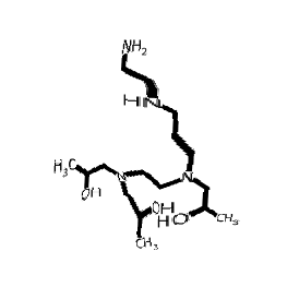 CC(O)CN(CCCNCCN)CCN(CC(C)O)CC(C)O